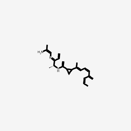 C=C/C(=N\C=C(\C)N)[C@@H](C)NC(=C)C1CC1/C(C)=C/C=C\C(=C)/C=C\C